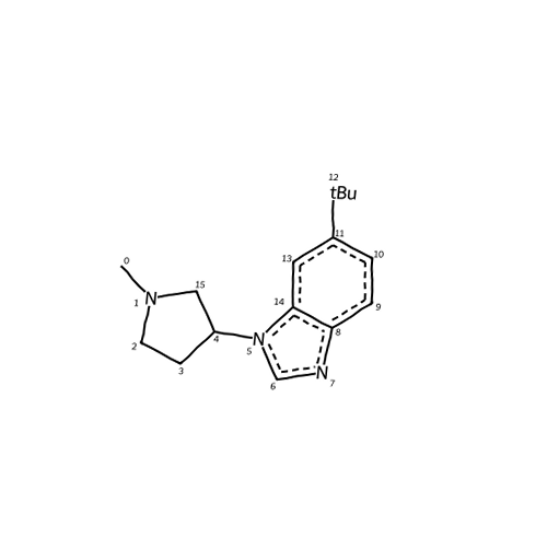 CN1CCC(n2cnc3ccc(C(C)(C)C)cc32)C1